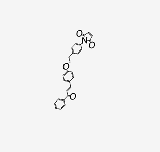 O=C(C=Cc1ccc(OCCc2ccc(N3C(=O)C=CC3=O)cc2)cc1)c1ccccc1